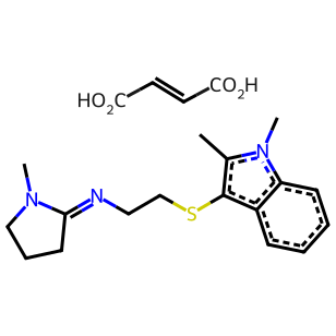 Cc1c(SCCN=C2CCCN2C)c2ccccc2n1C.O=C(O)C=CC(=O)O